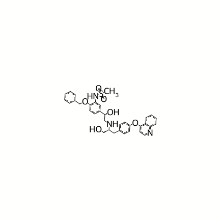 CS(=O)(=O)Nc1cc([C@@H](O)CN[C@H](CO)Cc2ccc(Oc3ccnc4ccccc34)cc2)ccc1OCc1ccccc1